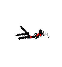 CCCCCCCCCCCCN(CCCCCCCCCCCC)CCCN(CCCCCCCCCCCC)CCCCCC(=O)OC(C)(C)Cn1c(CNCC)nc2c(N)nc3ccccc3c21